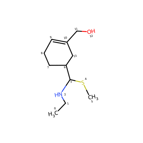 CCNC(SC)C1CCC=C(CO)C1